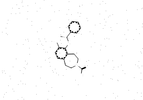 C[C@H](Nc1c(Cl)ccc2c1CCN(C(=O)C(F)(F)F)CC2)c1ccccc1